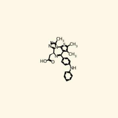 Cc1sc2c(c1C)C(c1ccc(Nc3ccccc3)cc1)=N[C@@H](CC(=O)O)c1nnc(C)n1-2